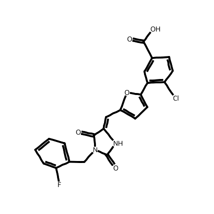 O=C(O)c1ccc(Cl)c(-c2ccc(/C=C3\NC(=O)N(Cc4ccccc4F)C3=O)o2)c1